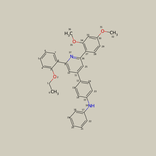 CCOc1ccccc1-c1cc(-c2ccc(Nc3ccccc3)cc2)cc(-c2ccc(OC)cc2OC)n1